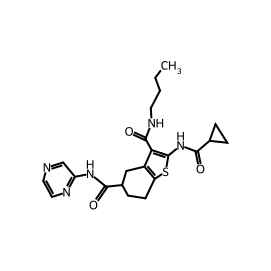 CCCCNC(=O)c1c(NC(=O)C2CC2)sc2c1CC(C(=O)Nc1cnccn1)CC2